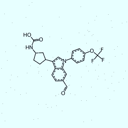 O=Cc1ccc2c(C3CCC(NC(=O)O)C3)cn(-c3ccc(OC(F)(F)F)cc3)c2c1